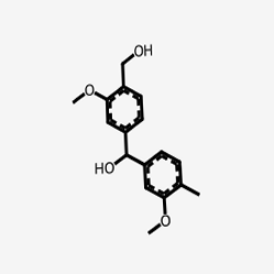 COc1cc(C(O)c2ccc(CO)c(OC)c2)ccc1C